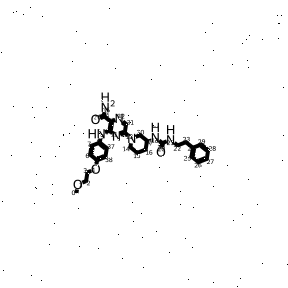 COCCOc1ccc(Nc2nc(N3CCC[C@@H](NC(=O)NCCc4ccccc4)C3)cnc2C(N)=O)cc1